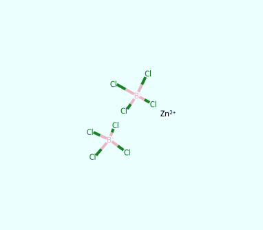 Cl[B-](Cl)(Cl)Cl.Cl[B-](Cl)(Cl)Cl.[Zn+2]